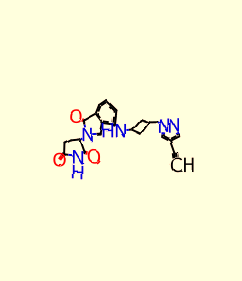 C#Cc1cnn(CC2CC(Nc3cccc4c3CN(C3CCC(=O)NC3=O)C4=O)C2)c1